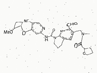 COC1CCC1Oc1cc(NC(=O)N2CCCc3cc(CN(C)C(=O)C4CCCO4)c(C=O)nc32)ncc1C#N